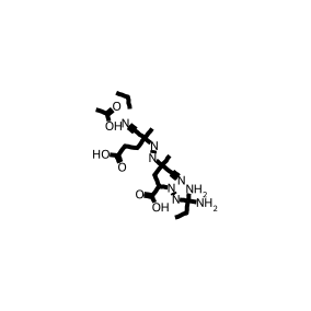 CC(=O)O.CCC.CCC(N)(N)N=NC(CC(C)(C#N)N=NC(C)(C#N)CCC(=O)O)C(=O)O